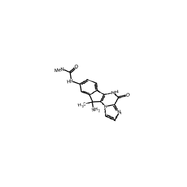 CNC(=O)Nc1ccc2c(c1)C(C)(N)c1c-2[nH]c(=O)c2nccn12